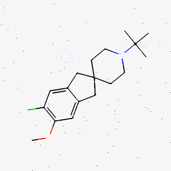 COc1cc2c(cc1Cl)[C@H](N)C1(CCN(C(C)(C)C)CC1)C2